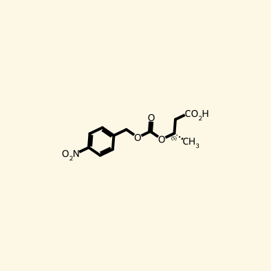 C[C@@H](CC(=O)O)OC(=O)OCc1ccc([N+](=O)[O-])cc1